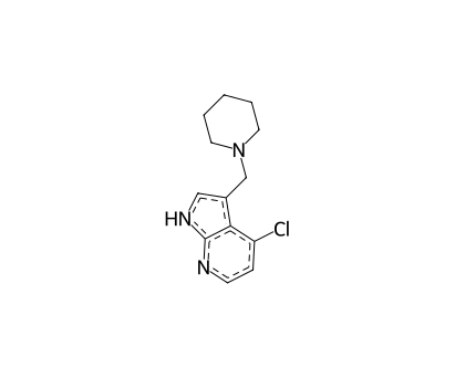 Clc1ccnc2[nH]cc(CN3CCCCC3)c12